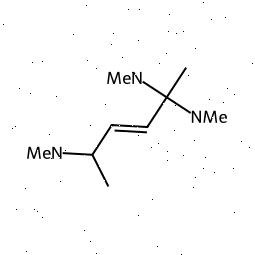 CNC(C)/C=C/C(C)(NC)NC